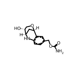 NC(=O)OCc1ccc2c(c1)[C@H]1C[C@@H](N2)[C@H](O)CO1